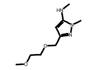 CNc1cc(COCCOC)nn1C